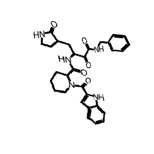 O=C(NCc1ccccc1)C(=O)C(CC1CCNC1=O)NC(=O)C1CCCCN1C(=O)c1cc2ccccc2[nH]1